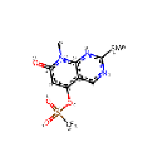 CSc1ncc2c(OS(=O)(=O)C(F)(F)F)cc(=O)n(C)c2n1